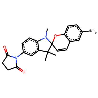 CN1c2ccc(N3C(=O)CCC3=O)cc2C(C)(C)C12C=Cc1cc([N+](=O)[O-])ccc1O2